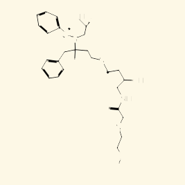 COCCNCC(=O)NCC(C)CC(=O)NCCC(O)(Cc1ccccc1)N(CC(C)C)S(=O)(=O)c1ccccc1